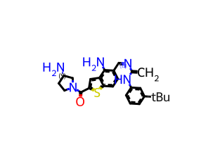 C=C(/N=C\c1ccc2sc(C(=O)N3CC[C@H](N)C3)cc2c1N)Nc1cccc(C(C)(C)C)c1